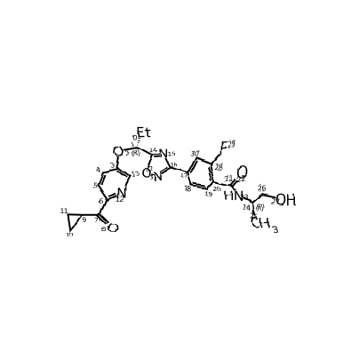 CC[C@@H](Oc1ccc(C(=O)C2CC2)nc1)c1nc(-c2ccc(C(=O)N[C@H](C)CO)c(F)c2)no1